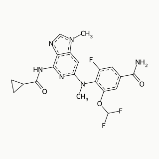 CN(c1cc2c(ncn2C)c(NC(=O)C2CC2)n1)c1c(F)cc(C(N)=O)cc1OC(F)F